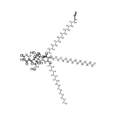 CCCCCCCCCCCCCCCCCCOc1cc(CC(CC(=O)O)(C(=O)O)[C@@]2(O)[C@@H](CO)O[C@@H](n3ccc(=O)[nH]c3=O)[C@@H]2OC)cc(OCCCCCCCCCCCCCCCCCC#P=S)c1OCCCCCCCCCCCCCCCCCC